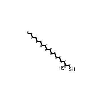 CCCCCCCCCCCCCCCCC(S)CS